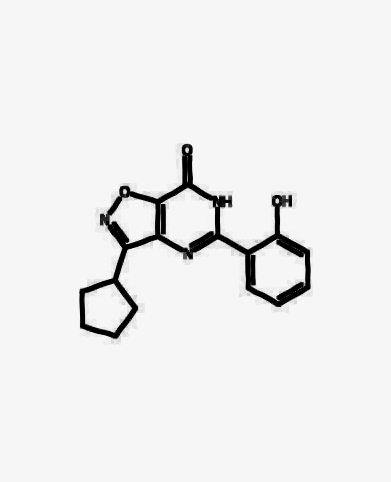 O=c1[nH]c(-c2ccccc2O)nc2c(C3CCCC3)noc12